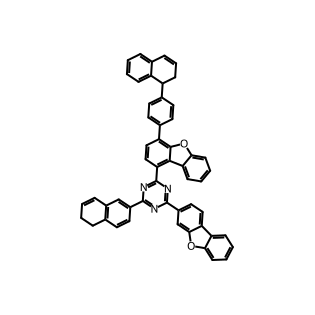 C1=Cc2cc(-c3nc(-c4ccc5c(c4)oc4ccccc45)nc(-c4ccc(-c5ccc(C6CC=Cc7ccccc76)cc5)c5oc6ccccc6c45)n3)ccc2CC1